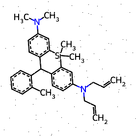 C=CCN(CC=C)c1ccc2c(c1)[Si](C)(C)c1cc(N(C)C)ccc1C2c1ccccc1C